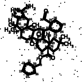 CC1(C)CC[C@]2(C(=O)OCc3ccccc3)CC[C@]3(C)C(=C(c4ccccc4C=O)CC4[C@@]5(C)Cc6c(n[nH]c6N)C(C)(C)[C@@H]5CC[C@]43C)[C@@H]2C1